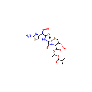 COCC1=C(C(=O)OC(C)OC(=O)C(C)C)N2C(=O)C(NC(=O)/C(=N\O)c3csc(N)n3)[C@H]2SC1